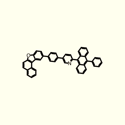 c1ccc(-c2c3ccccc3c(-c3ccc(-c4ccc(-c5ccc6oc7ccc8ccccc8c7c6c5)cc4)cn3)c3ccccc23)cc1